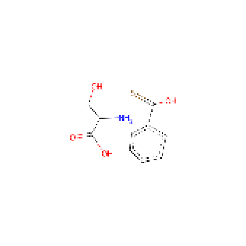 NC(CO)C(=O)O.OC(=S)c1ccccc1